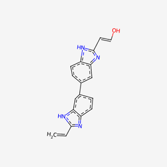 C=Cc1nc2ccc(-c3ccc4[nH]c(C=CO)nc4c3)cc2[nH]1